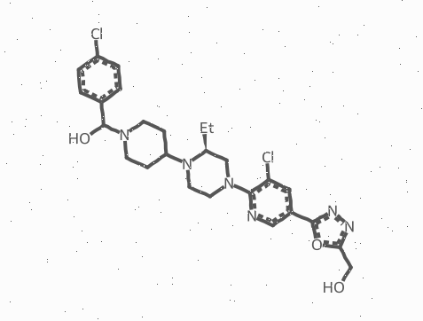 CC[C@H]1CN(c2ncc(-c3nnc(CO)o3)cc2Cl)CCN1C1CCN(C(O)c2ccc(Cl)cc2)CC1